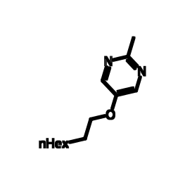 CCCCCCCCOc1cnc(C)nc1